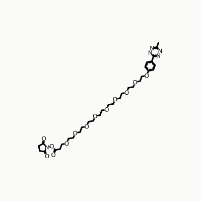 Cc1nnc(-c2ccc(OCCOCCOCCOCCOCCOCCOCCOCCOCCC(=O)ON3C(=O)CCC3=O)cc2)nn1